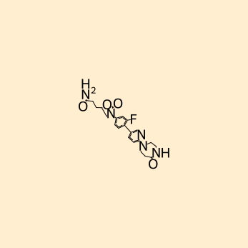 NC(=O)CCC1CN(c2ccc(-c3ccc(N4CCNC(=O)CC4)nc3)c(F)c2)C(=O)O1